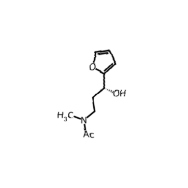 CC(=O)N(C)CC[C@@H](O)c1ccco1